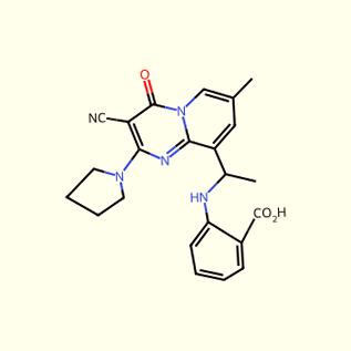 Cc1cc(C(C)Nc2ccccc2C(=O)O)c2nc(N3CCCC3)c(C#N)c(=O)n2c1